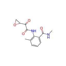 CNC(=O)c1cccc(C)c1NC(=O)C(=O)C1CO1